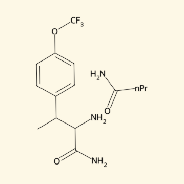 CC(c1ccc(OC(F)(F)F)cc1)C(N)C(N)=O.CCCC(N)=O